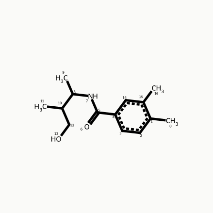 Cc1ccc(C(=O)NC(C)C(C)CO)cc1C